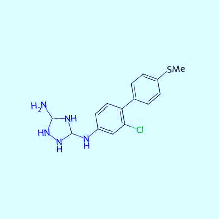 CSc1ccc(-c2ccc(NC3NNC(N)N3)cc2Cl)cc1